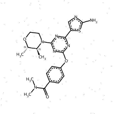 C[C@@H]1OCCN(c2nc(Oc3ccc(C(=O)N(C)C)cc3)nc(-c3cnc(N)s3)n2)[C@H]1C